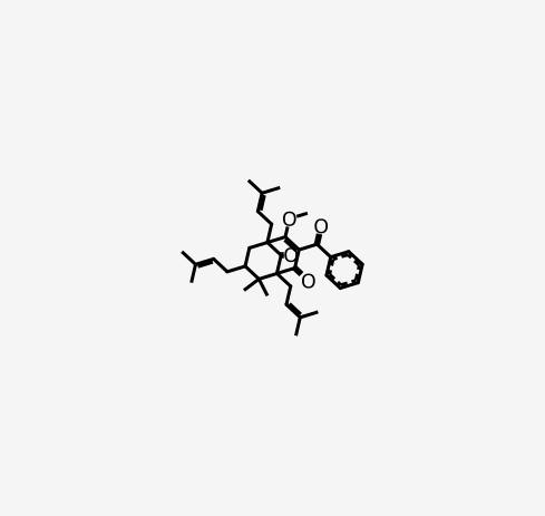 COC1=C(C(=O)c2ccccc2)C(=O)C2(CC=C(C)C)C(=O)C1(CC=C(C)C)CC(CC=C(C)C)C2(C)C